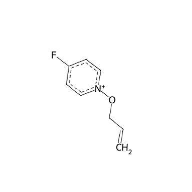 C=CCO[n+]1ccc(F)cc1